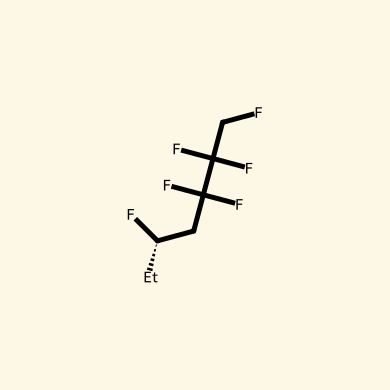 [CH2]C[C@H](F)CC(F)(F)C(F)(F)CF